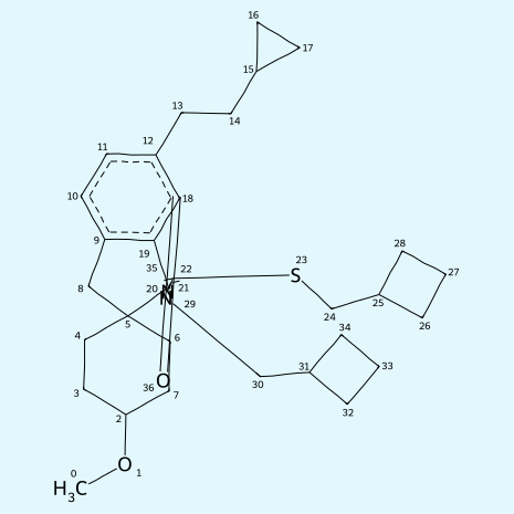 COC1CCC2(CC1)Cc1ccc(CCC3CC3)cc1C21N=C(SCC2CCC2)N(CC2CCC2)C1=O